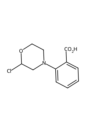 O=C(O)c1ccccc1N1CCOC(Cl)C1